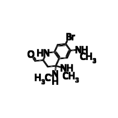 CNc1cc2c(cc1Br)NC(C=O)CC2(NC)NC